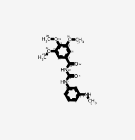 CNc1cccc(NC(=O)NC(=O)c2cc(OC)c(OC)c(OC)c2)c1